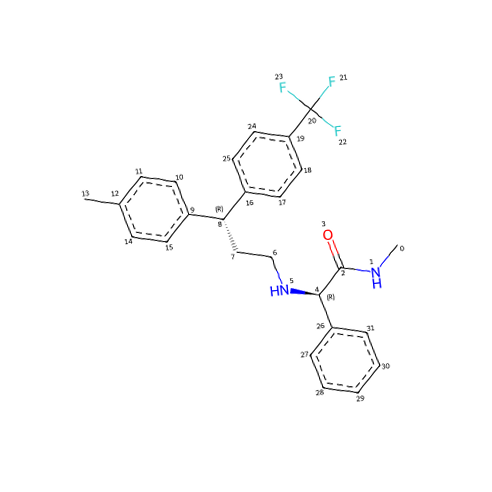 CNC(=O)[C@H](NCC[C@H](c1ccc(C)cc1)c1ccc(C(F)(F)F)cc1)c1ccccc1